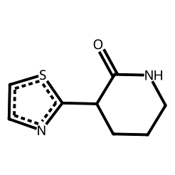 O=C1NCCCC1c1nccs1